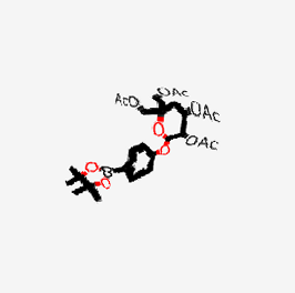 CC(=O)OCC1(COC(C)=O)CC(OC(C)=O)C(OC(C)=O)C(Oc2ccc(B3OC(C)(C)C(C)(C)O3)cc2)O1